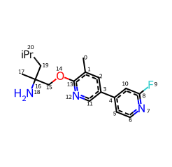 Cc1cc(-c2ccnc(F)c2)cnc1OCC(C)(N)CC(C)C